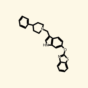 c1ccc(C2CCN(Cc3c[nH]c4cc(Oc5nc6ccccc6s5)ccc34)CC2)cc1